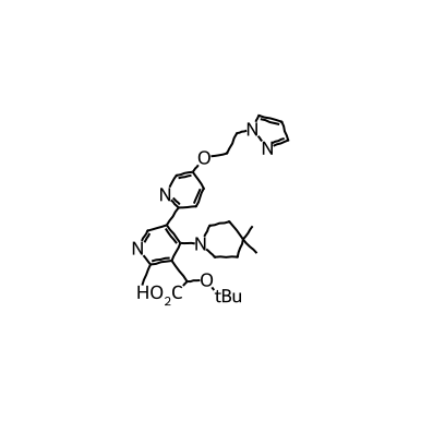 Cc1ncc(-c2ccc(OCCn3cccn3)cn2)c(N2CCC(C)(C)CC2)c1C(OC(C)(C)C)C(=O)O